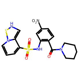 O=C(c1ccc([N+](=O)[O-])cc1NS(=O)(=O)C1=CC=CN2SNC=C12)N1CCCCC1